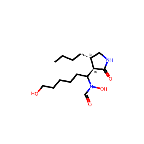 CCCC[C@@H]1CNC(=O)[C@H]1C(CCCCCO)N(O)C=O